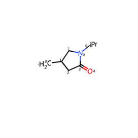 [CH2]C1CC(=O)N(C(C)C)C1